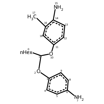 CCCCCCC(Oc1ccc(N)cc1)Oc1ccc(N)c(C)c1